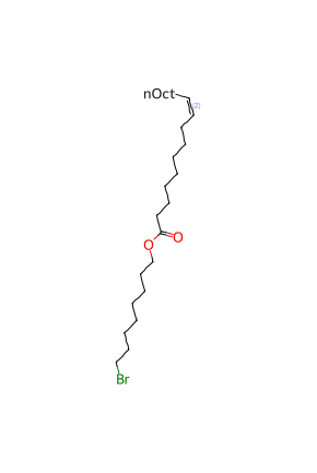 CCCCCCCC/C=C\CCCCCCCC(=O)OCCCCCCCCBr